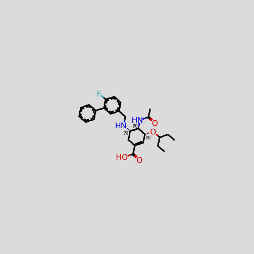 CCC(CC)O[C@@H]1C=C(C(=O)O)C[C@H](NCc2ccc(F)c(-c3ccccc3)c2)[C@H]1NC(C)=O